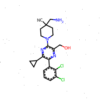 N#CC1(CN)CCN(c2nc(C3CC3)c(-c3cccc(Cl)c3Cl)nc2CO)CC1